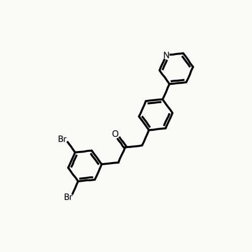 O=C(Cc1ccc(-c2cccnc2)cc1)Cc1cc(Br)cc(Br)c1